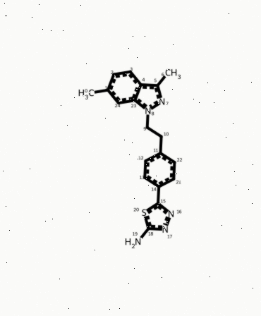 Cc1ccc2c(C)nn(CCc3ccc(-c4nnc(N)s4)cc3)c2c1